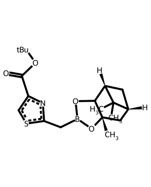 CC(C)(C)OC(=O)c1csc(CB2OC3[C@@H]4C[C@H](C[C@]3(C)O2)C4(C)C)n1